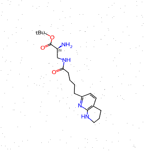 CC(C)(C)OC(=O)[C@@H](N)CNC(=O)CCCCc1ccc2c(n1)NCCC2